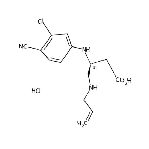 C=CCNC[C@H](CC(=O)O)Nc1ccc(C#N)c(Cl)c1.Cl